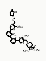 C=C1CC[C@@H](CNCc2ncc(-c3cccc(-c4cccc(-c5cnc(CN6CCC(NC=O)(C(=O)NC)CC6)c(OC)n5)c4Cl)c3Cl)nc2OC)N1